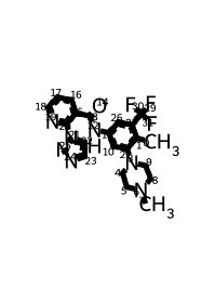 Cc1c(N2CCN(C)CC2)cc(NC(=O)c2cccnc2-n2ccnn2)cc1C(F)(F)F